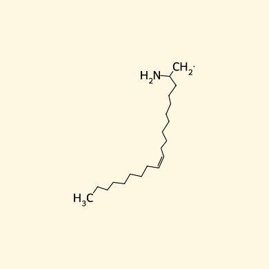 [CH2]C(N)CCCCCCCC/C=C\CCCCCCCC